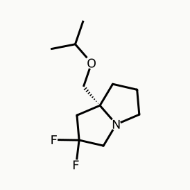 CC(C)OC[C@]12CCCN1CC(F)(F)C2